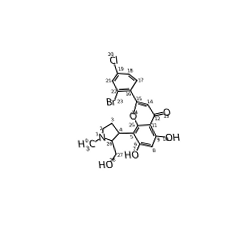 CN1CCC(c2c(O)cc(O)c3c(=O)cc(-c4ccc(Cl)cc4Br)oc23)C1CO